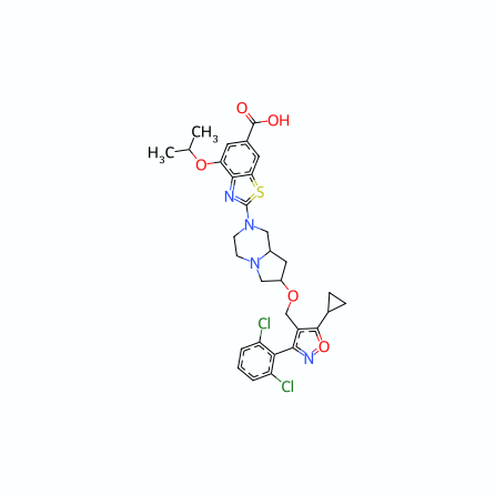 CC(C)Oc1cc(C(=O)O)cc2sc(N3CCN4CC(OCc5c(-c6c(Cl)cccc6Cl)noc5C5CC5)CC4C3)nc12